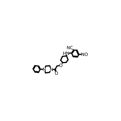 N#Cc1cc(N=O)ccc1NC1CCC(OCC(=O)N2CCN(c3ccccc3)CC2)CC1